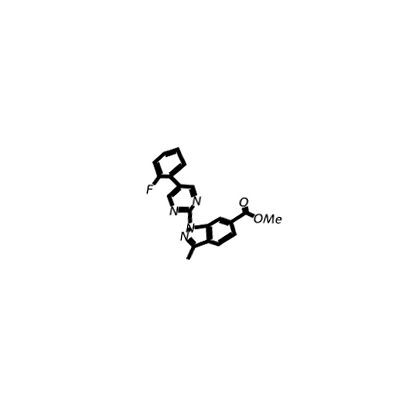 COC(=O)c1ccc2c(C)nn(-c3ncc(-c4ccccc4F)cn3)c2c1